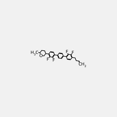 C=CCCc1ccc(-c2ccc(-c3ccc(C4CCC(C)OC4)c(F)c3F)cc2)c(F)c1F